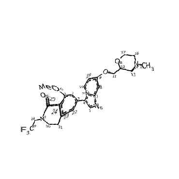 COc1cc(-c2cnc3cc(OCC4CN(C)CCO4)ccn23)cc2c1C(=O)N(CC(F)(F)F)CC2